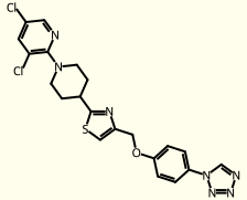 Clc1cnc(N2CCC(c3nc(COc4ccc(-n5cnnn5)cc4)cs3)CC2)c(Cl)c1